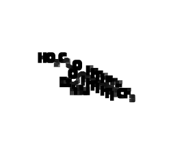 CCCCC(CC)CC(CC(F)(F)C(F)(F)C(F)(F)C(F)(F)C(F)(F)C(F)(F)C(F)(F)C(F)(F)F)OC(=O)/C=C/C(=O)O